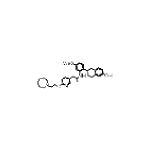 COc1ccc(C2CCc3cc(O)ccc3C2)c(NC(C)Cc2ccc(OCCN3CCCCCC3)nc2)c1